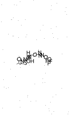 CC1C=C2CS/C(=N\C(O)N/N=C/c3ccc(-c4ncn(-c5ccc(OC(F)(F)F)cc5)n4)cc3)N2c2ccccc21